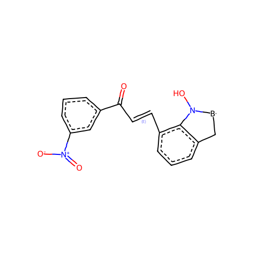 O=C(/C=C/c1cccc2c1N(O)[B]C2)c1cccc([N+](=O)[O-])c1